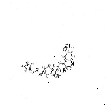 COc1ccc2ncc(Cl)c(CCCC3(CO)CCN(CCCc4ccsc4)CC3)c2c1